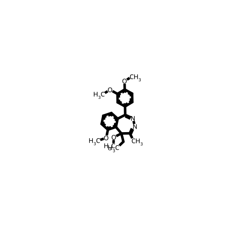 CCC1(OC)C(C)=NN=C(c2ccc(OC)c(OC)c2)c2cccc(OC)c21